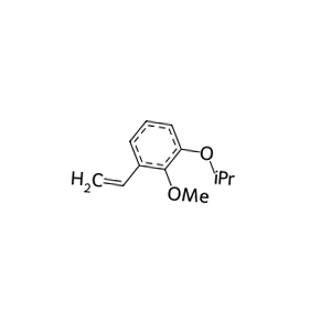 C=Cc1cccc(OC(C)C)c1OC